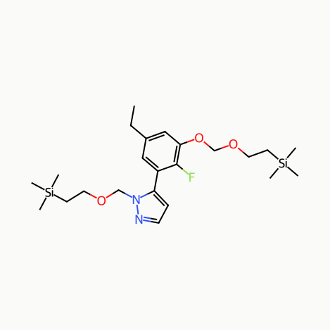 CCc1cc(OCOCC[Si](C)(C)C)c(F)c(-c2ccnn2COCC[Si](C)(C)C)c1